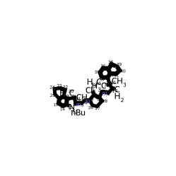 C=C(/C=C/C1=C(Cl)C(=C/C=C2/N(CCCC)c3ccc4c(c3C2(C)C)C=CCC4)/CCC1)C(C)(C)c1c(C)ccc2ccccc12